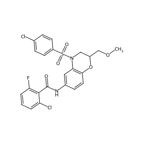 COCC1CN(S(=O)(=O)c2ccc(Cl)cc2)c2cc(NC(=O)c3c(F)cccc3Cl)ccc2O1